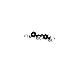 COc1cccc(C(C)CCOc2ccc(C(C)C)cc2)c1